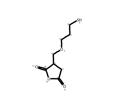 O=C1CC(COCCCS)C(=O)O1